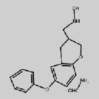 NC=O.ONCC1COc2ccc(Oc3ccccc3)cc2C1